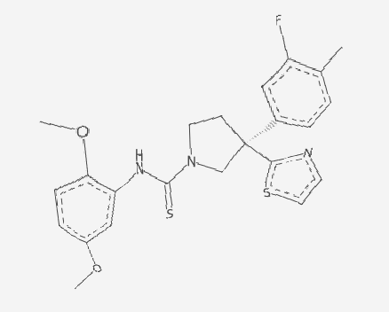 COc1ccc(OC)c(NC(=S)N2CC[C@@](c3ccc(C)c(F)c3)(c3nccs3)C2)c1